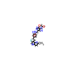 Cc1ccc2ncc(F)c(CCC34CCC(NCc5cc6c(nn5)OCC(=O)N6)(CC3)CO4)c2n1